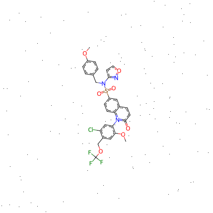 COc1ccc(CN(c2ccon2)S(=O)(=O)c2ccc3c(ccc(=O)n3-c3cc(Cl)c(COC(F)(F)F)cc3OC)c2)cc1